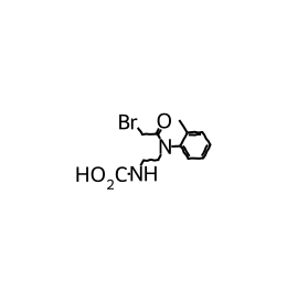 Cc1ccccc1N(CCNC(=O)O)C(=O)CBr